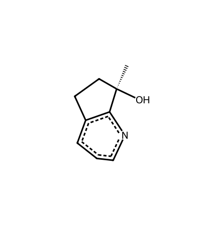 C[C@@]1(O)CCc2cccnc21